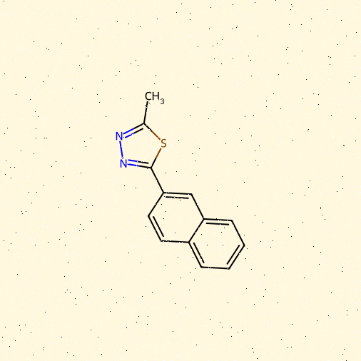 Cc1nnc(-c2ccc3ccccc3c2)s1